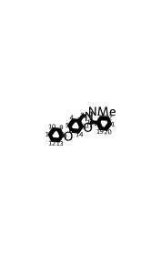 CNN(Cc1ccc(Oc2ccccc2)cc1)C(=O)c1ccccc1